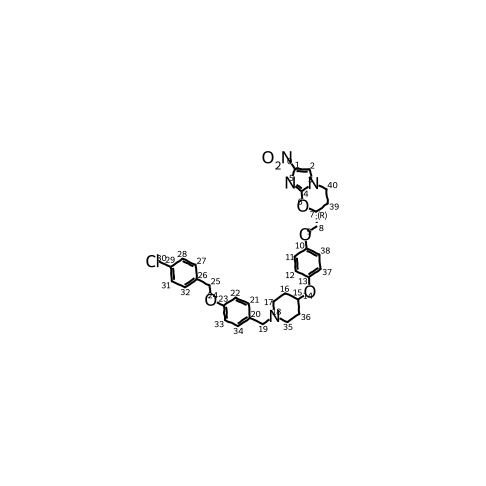 O=[N+]([O-])c1cn2c(n1)O[C@@H](COc1ccc(OC3CCN(Cc4ccc(OCc5ccc(Cl)cc5)cc4)CC3)cc1)CC2